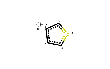 [CH3].c1ccsc1